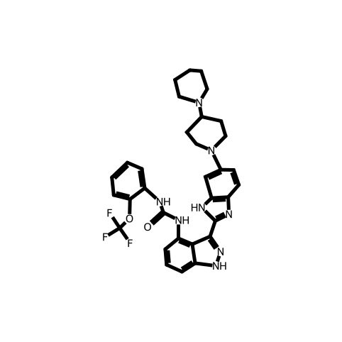 O=C(Nc1ccccc1OC(F)(F)F)Nc1cccc2[nH]nc(-c3nc4ccc(N5CCC(N6CCCCC6)CC5)cc4[nH]3)c12